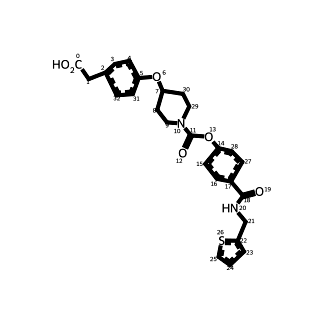 O=C(O)Cc1ccc(OC2CCN(C(=O)Oc3ccc(C(=O)NCc4cccs4)cc3)CC2)cc1